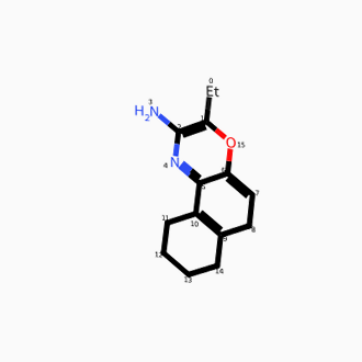 CCC1=C(N)N=C2C(=CCC3=C2CCCC3)O1